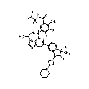 Cc1c(C(=O)NC2(C(F)F)CC2)cc(Nc2nc(-c3ccc4c(c3)N(C3CC(N5CCCCC5)C3)C(=O)C4(C)C)cc3ncn(C(C)C)c23)c(F)c1F